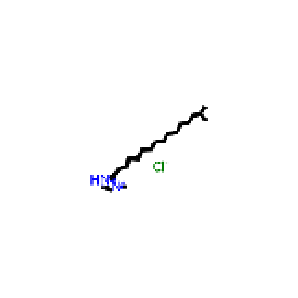 CC(C)CCCCCCCCCCCCCc1[nH]cc[n+]1C.[Cl-]